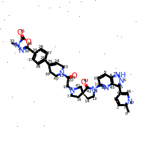 Cc1ccc(-c2n[nH]c3ccc(N4CC[C@]5(CCN(CC(=O)N6CC=C(c7ccc(-c8nn(C)c(=O)o8)cc7)CC6)C5)C4=O)nc23)cn1